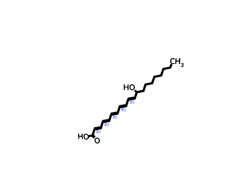 CCCCCCCCC(O)/C=C/C=C/C=C/C=C/C=C/C(=O)O